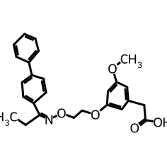 CCC(=NOCCOc1cc(CC(=O)O)cc(OC)c1)c1ccc(-c2ccccc2)cc1